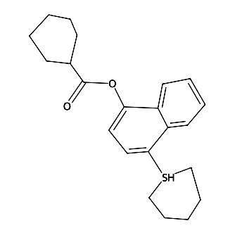 O=C(Oc1ccc([SH]2CCCCC2)c2ccccc12)C1CCCCC1